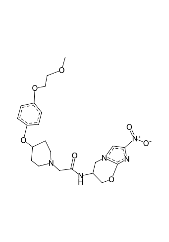 COCCOc1ccc(OC2CCN(CC(=O)NC3COc4nc([N+](=O)[O-])cn4C3)CC2)cc1